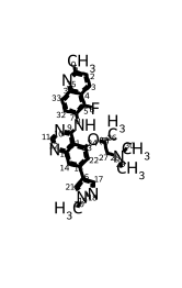 Cc1ccc2c(F)c(Nc3ncnc4cc(-c5cnn(C)c5)cc(O[C@H](C)CN(C)C)c34)ccc2n1